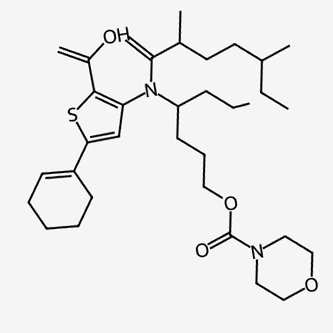 C=C(O)c1sc(C2=CCCCC2)cc1N(C(=C)C(C)CCC(C)CC)C(CCC)CCCOC(=O)N1CCOCC1